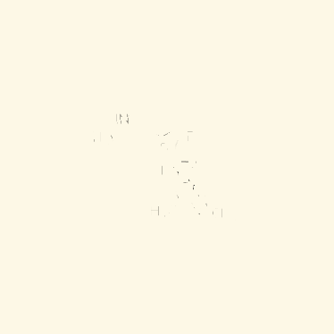 Cc1cn2nc(NC(=O)c3sc([C@@H]4CCN[C@H](C)C4)cc3F)cc(C)c2n1